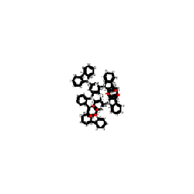 c1ccc(-c2ccccc2B2c3cc(-n4c5ccccc5c5ccccc54)nc(-n4c5ccccc5c5ccccc54)c3Oc3c2cc(-n2c4ccccc4c4ccccc42)nc3-n2c3ccccc3c3ccccc32)cc1